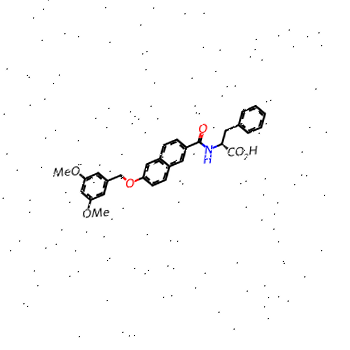 COc1cc(COc2ccc3cc(C(=O)N[C@@H](Cc4ccccc4)C(=O)O)ccc3c2)cc(OC)c1